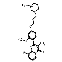 COc1cc(OCCCN2CCC[C@H](C)C2)ccc1-c1nc2c(F)cccc2c(=O)n1C